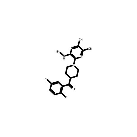 CC(C)Nc1nc(C#N)c(C#N)nc1N1CCC(C(=O)c2cc(Cl)ccc2F)CC1